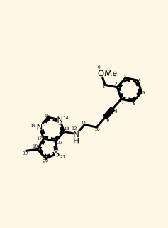 COCc1ccccc1C#CCCNc1ncnc2c(C)csc12